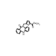 COC(=O)c1ccc(CN2C(=O)c3ccccc3Nc3ccccc32)s1